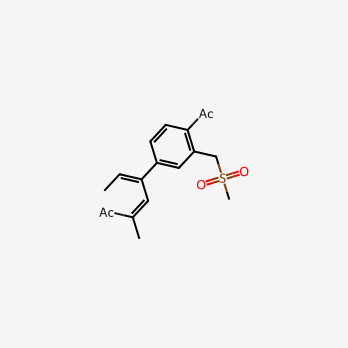 C/C=C(\C=C(\C)C(C)=O)c1ccc(C(C)=O)c(CS(C)(=O)=O)c1